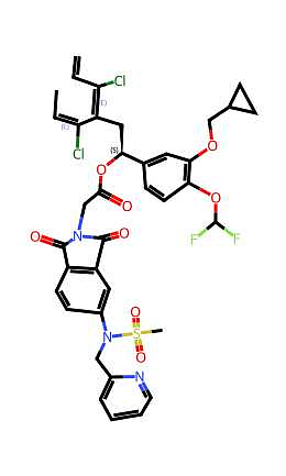 C=C/C(Cl)=C(C[C@H](OC(=O)CN1C(=O)c2ccc(N(Cc3ccccn3)S(C)(=O)=O)cc2C1=O)c1ccc(OC(F)F)c(OCC2CC2)c1)\C(Cl)=C/C